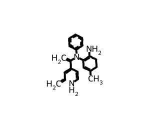 C=C/C=C(\C=C/N)C(=C)N(C1=C(N)CCC(C)=C1)c1ccccc1